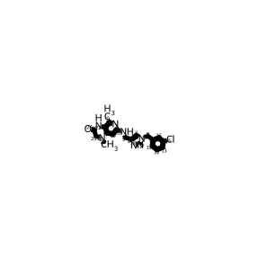 Cc1nc(NCc2cn(Cc3cccc(Cl)c3)nn2)cc2c1NC(=O)CN2C